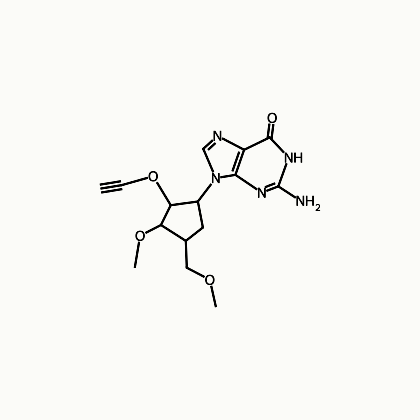 C#COC1C(OC)C(COC)CC1n1cnc2c(=O)[nH]c(N)nc21